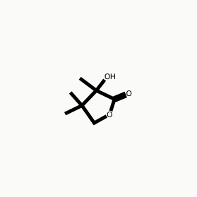 CC1(C)COC(=O)C1(C)O